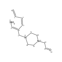 C=C/C=C\C(=C/N)CN1CCN(CC=O)CC1